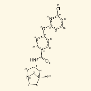 O=C(N[C@@H]1C[C@H]2CCN(C2)C1)c1ccc(Oc2cccc(Cl)n2)cc1